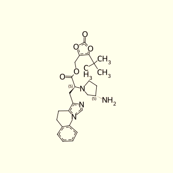 CC(C)(C)c1oc(=O)oc1COC(=O)[C@H](Cc1ncn2c1CCc1ccccc1-2)N1CC[C@H](N)C1